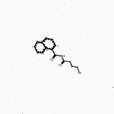 O=C(CCCBr)NC(=O)c1cccc2ccccc12